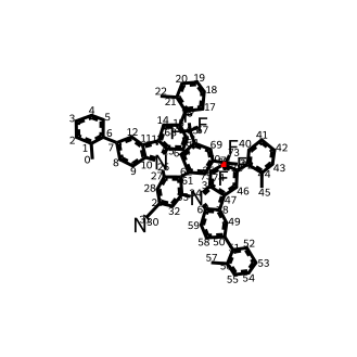 Cc1ccccc1-c1ccc2c(c1)c1cc(-c3ccccc3C)ccc1n2-c1cc(C#N)cc(-n2c3ccc(-c4ccccc4C)cc3c3cc(-c4ccccc4C)ccc32)c1-c1cc(C(F)(F)F)cc(C(F)(F)F)c1